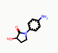 Nc1ccc(N2CCC(O)C2=O)cc1